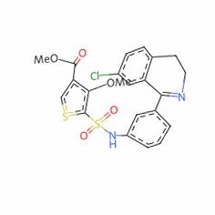 COC(=O)c1csc(S(=O)(=O)Nc2cccc(C3=NCCc4ccc(Cl)cc43)c2)c1OC